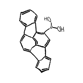 OB(O)c1cc2c3c(ccc4c3c1-c1ccccc1-4)-c1ccccc1-2